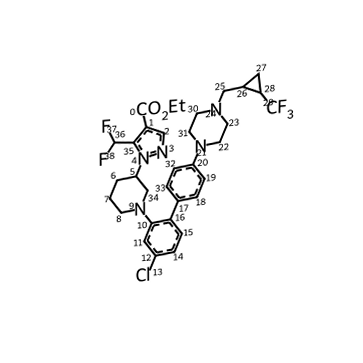 CCOC(=O)c1cnn(C2CCCN(c3cc(Cl)ccc3-c3ccc(N4CCN(CC5CC5C(F)(F)F)CC4)cc3)C2)c1C(F)F